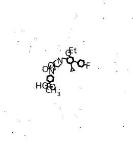 CCOc1cc(-c2ccc(F)cc2)c(C2CC2)cc1CN1CCC2(CC1)CN(c1ccc(P(C)(=O)O)cc1)C(=O)O2